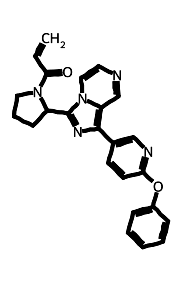 C=CC(=O)N1CCCC1c1nc(-c2ccc(Oc3ccccc3)nc2)c2cnccn12